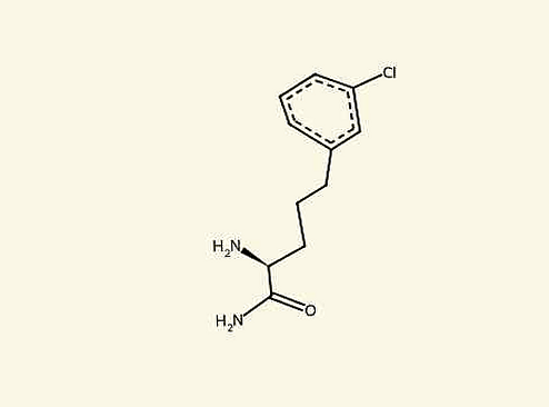 NC(=O)[C@@H](N)CCCc1cccc(Cl)c1